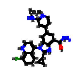 NC(=O)c1cc(-c2ccnc(NC(=O)O)c2)cc2c1nc(C1CC1)n2-c1ccnc2c(F)cccc12